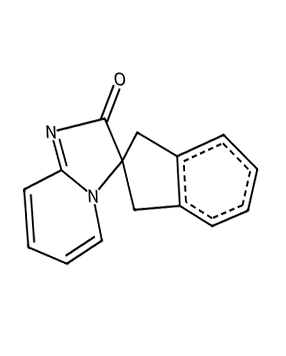 O=C1N=C2C=CC=CN2C12Cc1ccccc1C2